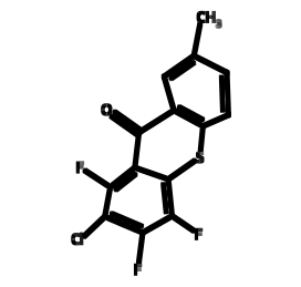 Cc1ccc2sc3c(F)c(F)c(Cl)c(F)c3c(=O)c2c1